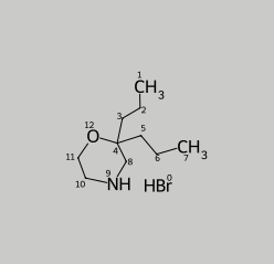 Br.CCCC1(CCC)CNCCO1